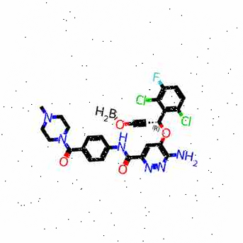 BOC#C[C@@H](Oc1cc(C(=O)Nc2ccc(C(=O)N3CCN(C)CC3)cc2)nnc1N)c1c(Cl)ccc(F)c1Cl